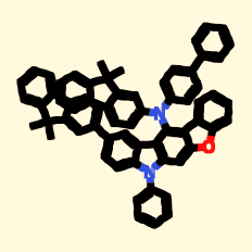 CC1(C)c2ccccc2-c2ccc(-c3ccc4c(c3)c3c(N(c5ccc(-c6ccccc6)cc5)c5ccc6c(c5)C(C)(C)c5ccccc5-6)c5c(cc3n4-c3ccccc3)oc3ccccc35)cc21